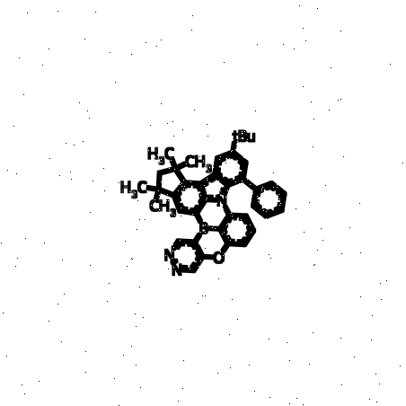 CC(C)(C)c1cc(-c2ccccc2)c2c(c1)c1c3c(cc4c1n2-c1cccc2c1B4c1cnncc1O2)C(C)(C)CC3(C)C